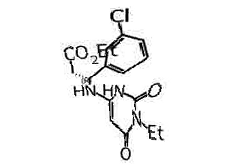 CCOC(=O)C[C@@H](Nc1cc(=O)n(CC)c(=O)[nH]1)c1cccc(Cl)c1